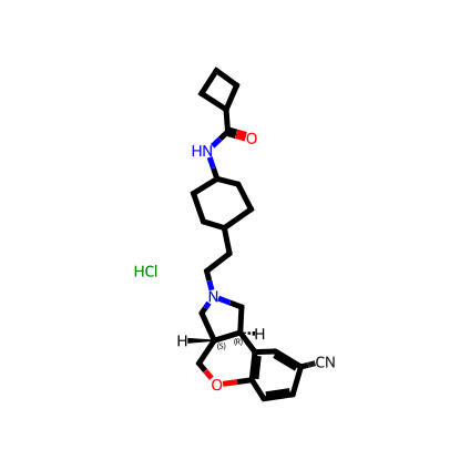 Cl.N#Cc1ccc2c(c1)[C@@H]1CN(CCC3CCC(NC(=O)C4CCC4)CC3)C[C@H]1CO2